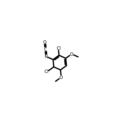 COC1=CC(OC)C(Cl)C(N=C=O)=C1Cl